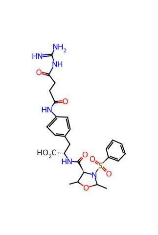 CC1OC(C)N(S(=O)(=O)c2ccccc2)[C@@H]1C(=O)N[C@@H](Cc1ccc(NC(=O)CCC(=O)NC(=N)N)cc1)C(=O)O